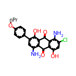 CCCOc1ccc(-c2cc(N)c3c(c2O)C(=O)c2c(N)c(Cl)cc(O)c2C3=O)cc1